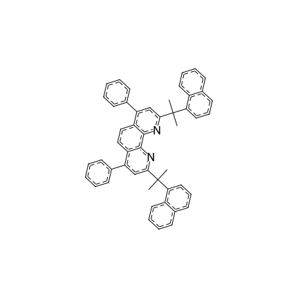 CC(C)(c1cc(-c2ccccc2)c2ccc3c(-c4ccccc4)cc(C(C)(C)c4cccc5ccccc45)nc3c2n1)c1cccc2ccccc12